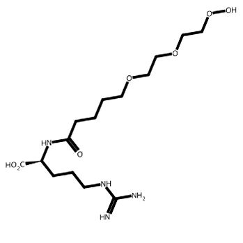 N=C(N)NCCC[C@H](NC(=O)CCCCOCCOCCOO)C(=O)O